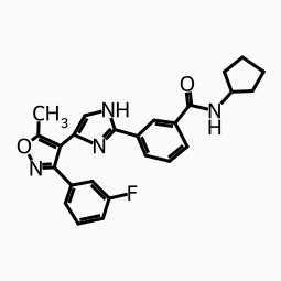 Cc1onc(-c2cccc(F)c2)c1-c1c[nH]c(-c2cccc(C(=O)NC3CCCC3)c2)n1